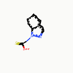 OC(=S)n1ncc2ccccc21